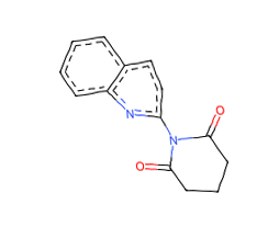 O=C1CCCC(=O)N1c1ccc2ccccc2n1